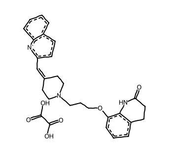 O=C(O)C(=O)O.O=C1CCc2cccc(OCCCN3CCC(=Cc4ccc5ccccc5n4)CC3)c2N1